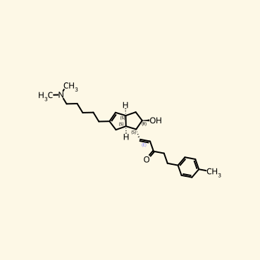 Cc1ccc(CCC(=O)/C=C/[C@@H]2[C@H]3CC(CCCCCN(C)C)=C[C@H]3C[C@H]2O)cc1